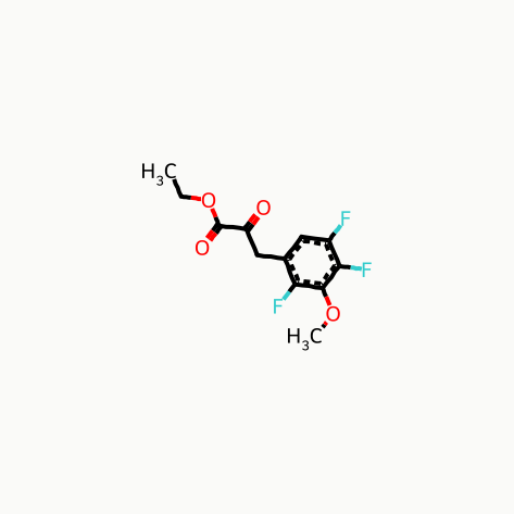 CCOC(=O)C(=O)Cc1cc(F)c(F)c(OC)c1F